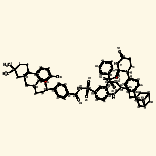 CC1(C)CCC(c2ccc(Cl)cc2)=C(CN2CCN(c3ccc(C(=O)NS(=O)(=O)c4ccc(N[C@H](CCN5CC6CC(C5)N6Cc5ccc(N6CCC(=O)NC6=O)cc5)CSc5ccccc5)c(S(=O)(=O)C(F)(F)F)c4)cc3)CC2)C1